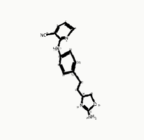 N#Cc1cccnc1Nc1ccc(CCC2COC(N)=N2)cc1